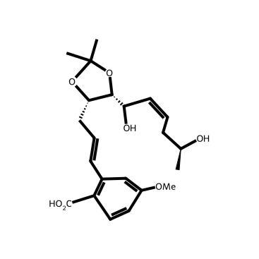 COc1ccc(C(=O)O)c(/C=C/C[C@@H]2OC(C)(C)O[C@@H]2C(O)/C=C\C[C@H](C)O)c1